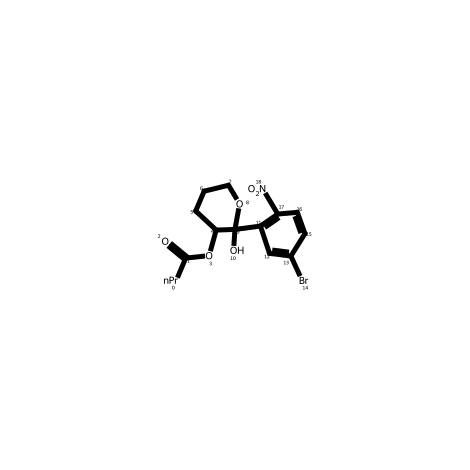 CCCC(=O)OC1CCCOC1(O)c1cc(Br)ccc1[N+](=O)[O-]